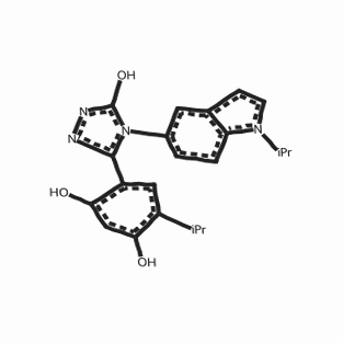 CC(C)c1cc(-c2nnc(O)n2-c2ccc3c(ccn3C(C)C)c2)c(O)cc1O